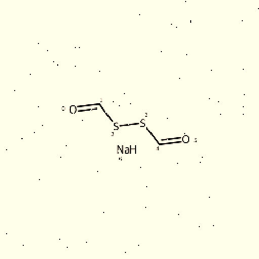 O=CSSC=O.[NaH]